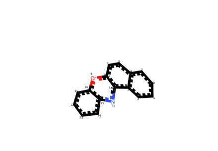 c1ccc2c(c1)ccc1[o+]c3ccccc3nc12